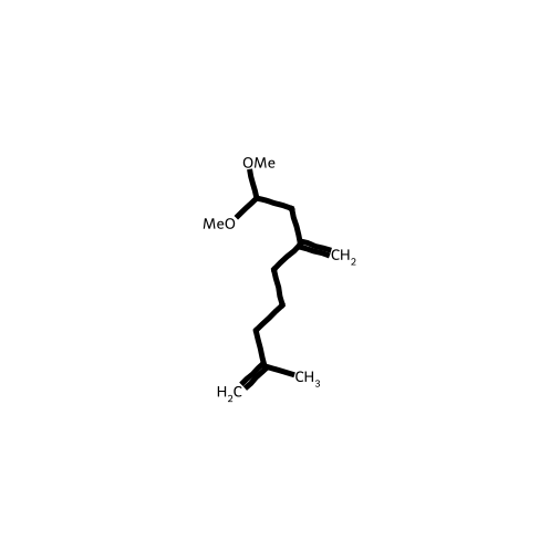 C=C(C)CCCC(=C)CC(OC)OC